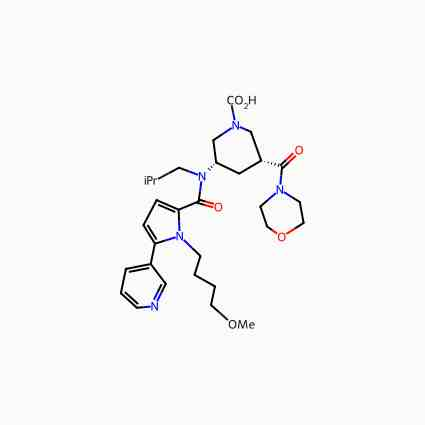 COCCCCn1c(C(=O)N(CC(C)C)[C@H]2C[C@@H](C(=O)N3CCOCC3)CN(C(=O)O)C2)ccc1-c1cccnc1